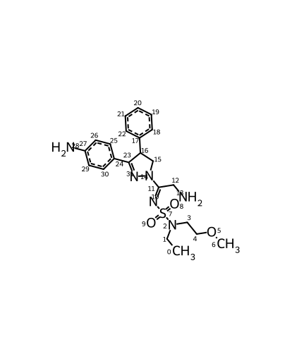 CCN(CCOC)S(=O)(=O)/N=C(\CN)N1CC(c2ccccc2)C(c2ccc(N)cc2)=N1